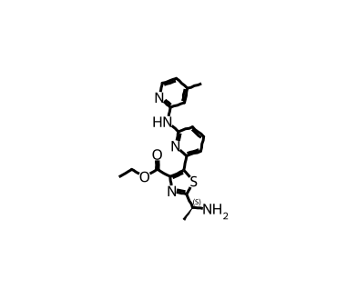 CCOC(=O)c1nc([C@H](C)N)sc1-c1cccc(Nc2cc(C)ccn2)n1